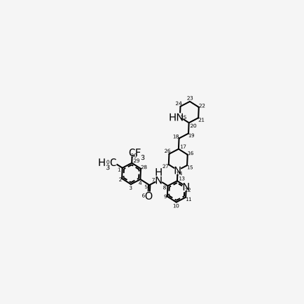 Cc1ccc(C(=O)Nc2cccnc2N2CCC(CCC3CCCCN3)CC2)cc1C(F)(F)F